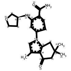 Cc1cn(-c2ccc(C(N)=O)c(N[C@H]3CCOC3)c2)c2c1C(=O)CC(C)(C)C2